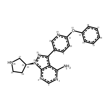 Nc1ncnc2c1c(-c1ccc(Oc3ccccc3)nc1)nn2[C@H]1CCNC1